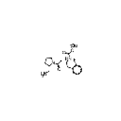 CC(C)(C)OC(=O)N[C@@H](CC(=O)N1CCC[C@H]1CN)Cc1ccccc1F